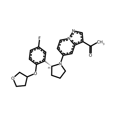 CC(=O)c1cnn2ccc(N3CCC[C@@H]3c3cc(F)ccc3OC3CCOC3)cc12